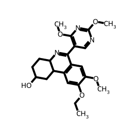 CCOc1cc2c(cc1OC)C(c1cnc(OC)nc1OC)=NC1CCC(O)CC21